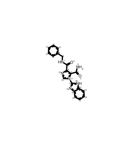 NC(=O)c1c(C(=O)NCc2ccccc2)ncn1-c1nc2ccccc2[nH]1